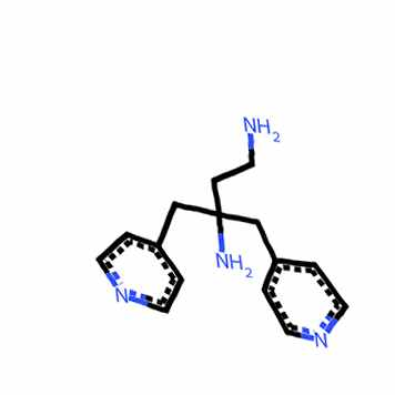 NCCC(N)(Cc1ccncc1)Cc1ccncc1